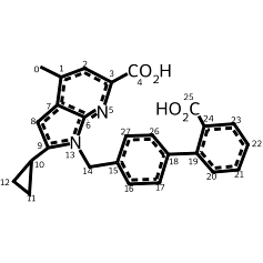 Cc1cc(C(=O)O)nc2c1cc(C1CC1)n2Cc1ccc(-c2ccccc2C(=O)O)cc1